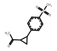 CC(=O)C1CC1c1ccc(S(C)(=O)=O)cc1